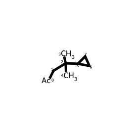 CC(=O)CC(C)(C)C1CC1